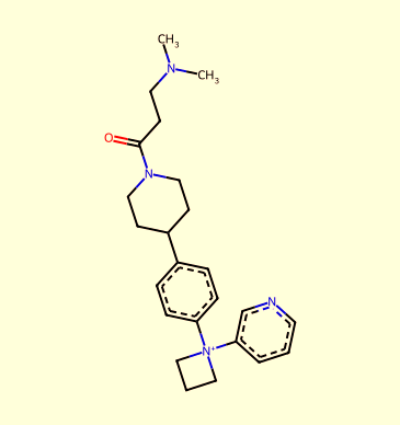 CN(C)CCC(=O)N1CCC(c2ccc([N+]3(c4cccnc4)CCC3)cc2)CC1